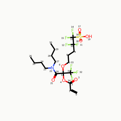 C=CC(=O)OC(OCCCC(F)(F)C(F)(F)S(=O)(=O)O)(C(=O)N(CCCC)CCCC)C(F)(F)F